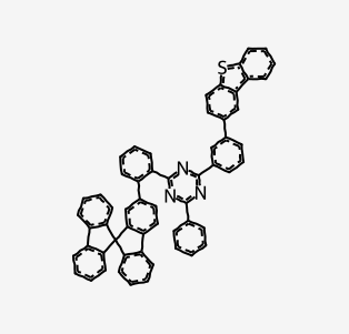 c1ccc(-c2nc(-c3cccc(-c4ccc5sc6ccccc6c5c4)c3)nc(-c3ccccc3-c3ccc4c(c3)C3(c5ccccc5-c5ccccc53)c3ccccc3-4)n2)cc1